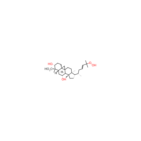 C[C@@H](C/C=C/C(C)(C)OO)[C@@H]1CC[C@]2(C)[C@H]3[C@H](O)C[C@@H]4[C@@](C)(C(=O)O)[C@H](O)CC[C@]45CC35CC[C@@]12C